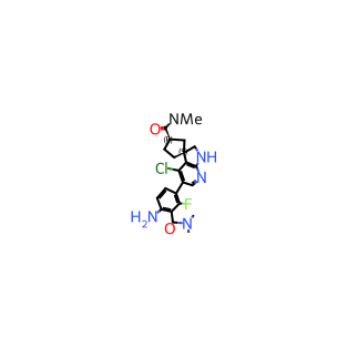 CNC(=O)[C@@H]1CC[C@]2(CNc3ncc(-c4ccc(N)c(C(=O)N(C)C)c4F)c(Cl)c32)C1